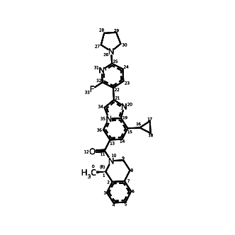 C[C@@H]1c2ccccc2CCN1C(=O)c1cc(C2CC2)c2nc(-c3ccc(N4CCCC4)nc3F)cn2c1